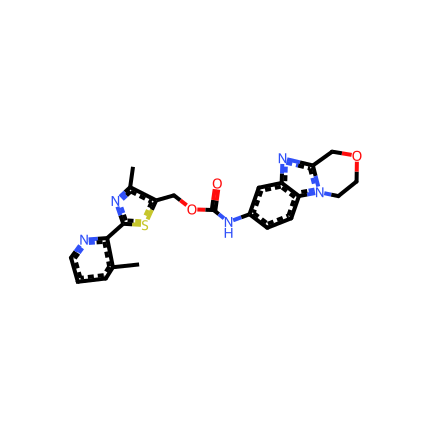 Cc1cccnc1-c1nc(C)c(COC(=O)Nc2ccc3c(c2)nc2n3CCOC2)s1